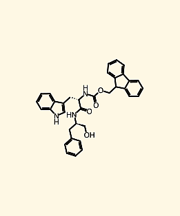 O=C(N[C@@H](Cc1c[nH]c2ccccc12)C(=O)N[C@@H](CO)Cc1ccccc1)OCC1c2ccccc2-c2ccccc21